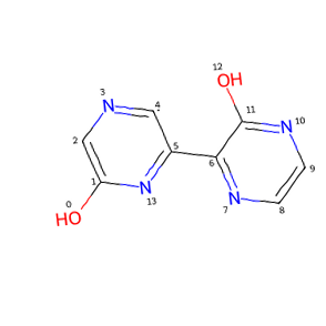 Oc1cn[c]c(-c2nccnc2O)n1